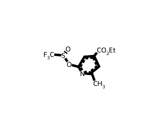 CCOC(=O)c1cc(C)nc(OS(=O)C(F)(F)F)c1